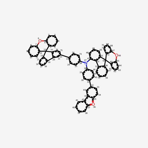 c1ccc2c(c1)Oc1ccccc1C21c2ccccc2-c2cc(-c3ccc(N(c4ccc(-c5ccc6oc7ccccc7c6c5)cc4)c4cccc5c4-c4ccccc4C54c5ccccc5Oc5ccccc54)cc3)ccc21